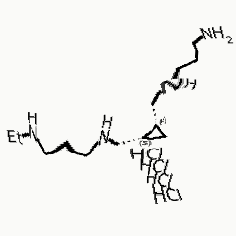 CCNCCCNC[C@H]1C[C@H]1CNCCCN.Cl.Cl.Cl.Cl